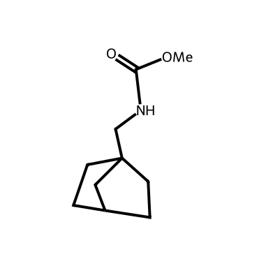 COC(=O)NCC12CCC(CC1)C2